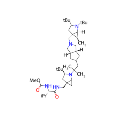 COC(=O)N[C@H](C(=O)NC[C@]12CC1N(C(C)(C)CC1C[C@@H]3CN(C[C@]45CC(C(C)(C)C)N(C(C)(C)C)[C@H]4[C@H]5C)C[C@@H]3C1)[C@H](C(C)(C)C)C2)C(C)C